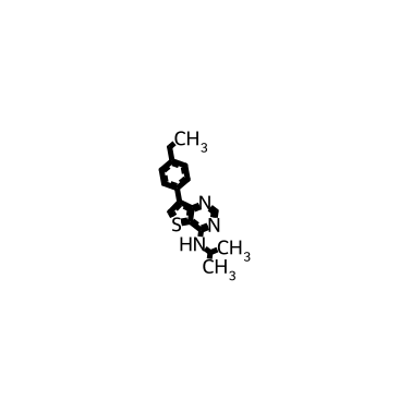 CCc1ccc(-c2csc3c(NC(C)C)ncnc23)cc1